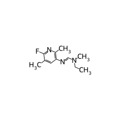 CCN(C)/C=N/c1cc(C)c(F)nc1C